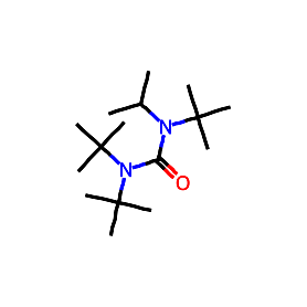 CC(C)N(C(=O)N(C(C)(C)C)C(C)(C)C)C(C)(C)C